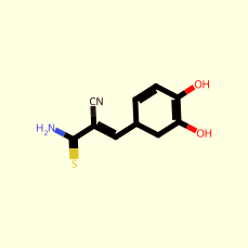 N#C/C(=C\C1C=CC(O)=C(O)C1)C(N)=S